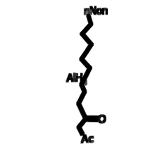 CCCCCCCCCCCCCCCCCC(=O)CC(C)=O.[AlH3]